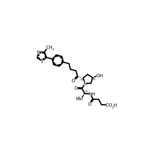 Cc1ncsc1-c1ccc(CCCC(=O)[C@@H]2C[C@@H](O)CN2C(=O)[C@@H](NC(=O)CCC(=O)O)C(C)(C)C)cc1